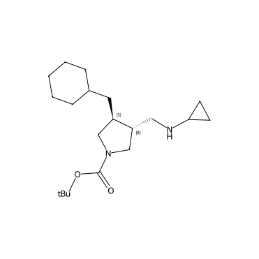 CC(C)(C)OC(=O)N1C[C@@H](CNC2CC2)[C@H](CC2CCCCC2)C1